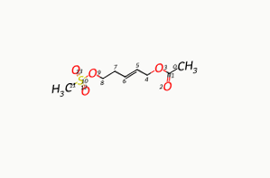 CC(=O)OCC=CCCOS(C)(=O)=O